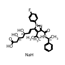 CC(C)c1c(C(=O)N[C@@H](C)c2ccccc2)nn(-c2ccc(F)cc2)c1C=C[C@H](O)C[C@@H](O)CC(=O)O.[NaH]